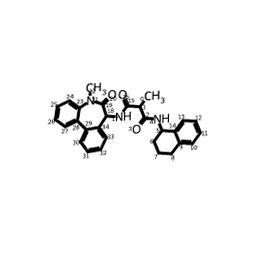 CC(C(=O)NC1CCCc2ccccc21)C(=O)NC1C(=O)N(C)c2ccccc2-c2ccccc21